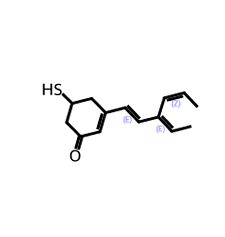 C\C=C/C(/C=C/C1=CC(=O)CC(S)C1)=C\C